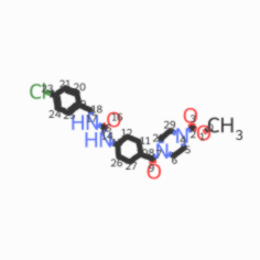 COC(=O)N1CCN(C(=O)C2CCC(NC(=O)NCc3ccc(Cl)cc3)CC2)CC1